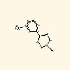 C[C@H]1CC[C@@H](c2cccc(C(F)(F)F)c2)CC1